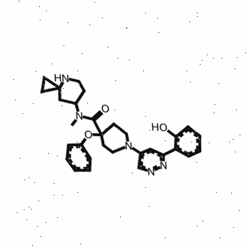 CN(C(=O)C1(Oc2ccccc2)CCN(c2cnnc(-c3ccccc3O)c2)CC1)C1CCNC2(CC2)C1